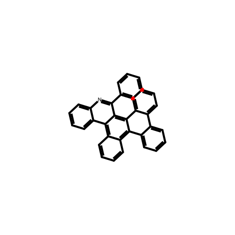 c1ccc(-c2nc3ccccc3c3c4ccccc4c4c5ccccc5c5ccccc5c4c23)cc1